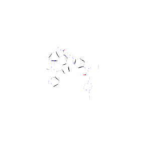 CN1CCN(CC(=O)N(C)c2ccc(N/C(=C3\C(=O)Nc4cc(F)ccc43)c3cccc(C(NC=O)c4cccnc4)c3)cc2)CC1